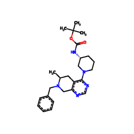 CC1Cc2c(ncnc2N2CCC[C@@H](NC(=O)OC(C)(C)C)C2)CN1Cc1ccccc1